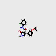 CC(C)Oc1cccc([C@H]2CN(C)C(=O)[C@@H]2C(=O)Nc2ccccc2F)c1